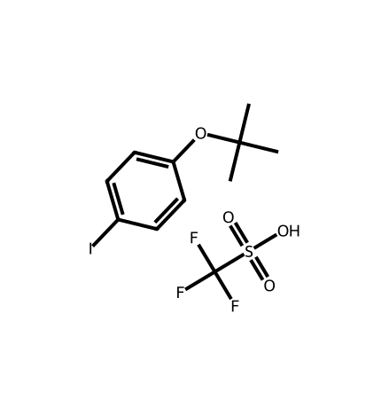 CC(C)(C)Oc1ccc(I)cc1.O=S(=O)(O)C(F)(F)F